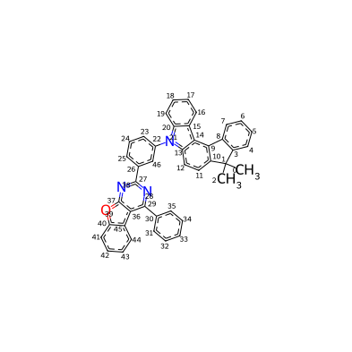 CC1(C)c2ccccc2-c2c1ccc1c2c2ccccc2n1-c1cccc(-c2nc(-c3ccccc3)c3c(n2)oc2ccccc23)c1